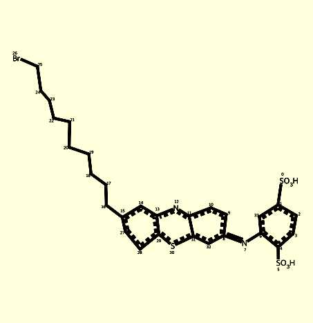 O=S(=O)(O)c1ccc(S(=O)(=O)O)c(/N=c2\ccc3nc4cc(CCCCCCCCCCBr)ccc4sc-3c2)c1